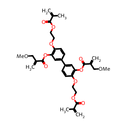 C=C(C)C(=O)OCCOc1ccc(-c2ccc(OCCOC(=O)C(=C)C)c(OC(=O)C(=C)COC)c2)cc1OC(=O)C(=C)COC